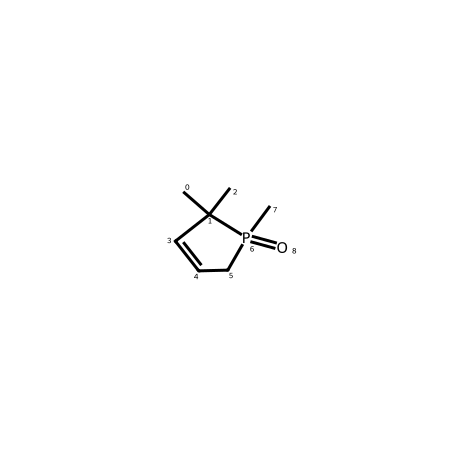 CC1(C)C=CCP1(C)=O